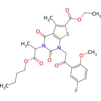 CCCCOC(=O)C(C)n1c(=O)c2c(C)c(C(=O)OCC)sc2n(CC(=O)c2cc(F)ccc2OC)c1=O